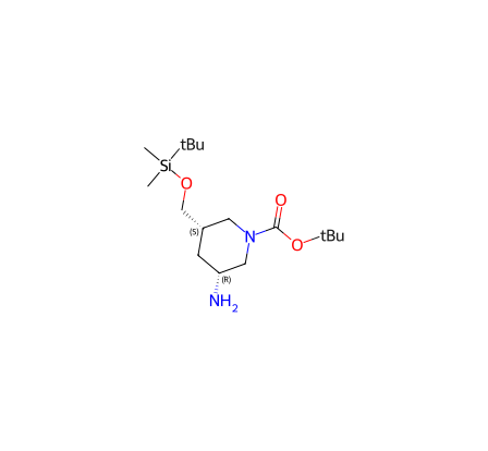 CC(C)(C)OC(=O)N1C[C@H](N)C[C@H](CO[Si](C)(C)C(C)(C)C)C1